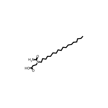 CCCCCCCCCCCCCCCCCCN(CCC(=O)O)C(N)=O